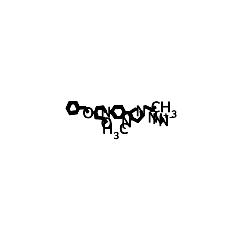 CC(CN1CCc2c(c3ccc(-n4ccc(OCc5ccccc5)cc4=O)cc3n2C)C1)N=[N+]=[N-]